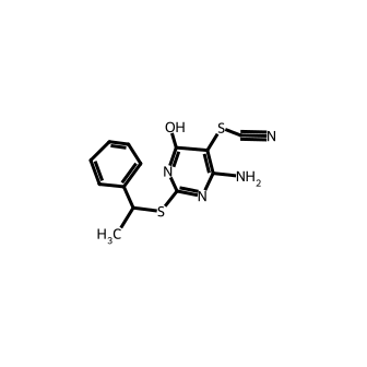 CC(Sc1nc(N)c(SC#N)c(O)n1)c1ccccc1